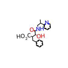 CC(CNC(=O)C(O)C(Cc1ccccc1)C(=O)O)c1ccccn1